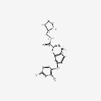 CCCCC(Oc1cc(Oc2ccc(C(F)(F)F)cc2Cl)ccc1[N+](=O)[O-])C(=O)NCC1OCCO1